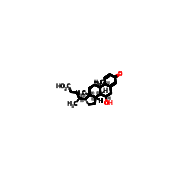 C[C@H](CCC(=O)O)[C@H]1CC[C@H]2[C@@H]3[C@H](O)CC4=CC(=O)C=C[C@]4(C)[C@H]3CC[C@]12C